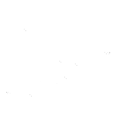 C=C/C(C#N)=C(F)\C=C(/C)c1nc(N2CCC(NC)CC2)n(C)c(=O)c1-c1ccc(OC)nc1